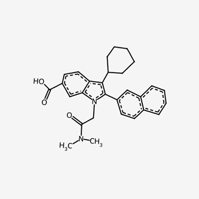 CN(C)C(=O)Cn1c(-c2ccc3ccccc3c2)c(C2CCCCC2)c2ccc(C(=O)O)cc21